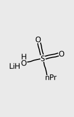 CCCS(=O)(=O)O.[LiH]